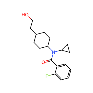 O=C(c1ccccc1F)N(C1CCC(CCO)CC1)C1CC1